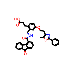 Cc1oc(-c2ccccc2)nc1CCOc1ccc(CCC(=O)O)c(CNC(=O)c2cccc3c2-c2ccccc2C3=O)c1